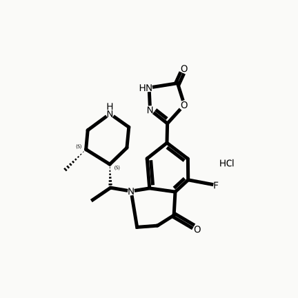 CC([C@H]1CCNC[C@H]1C)N1CCC(=O)c2c(F)cc(-c3n[nH]c(=O)o3)cc21.Cl